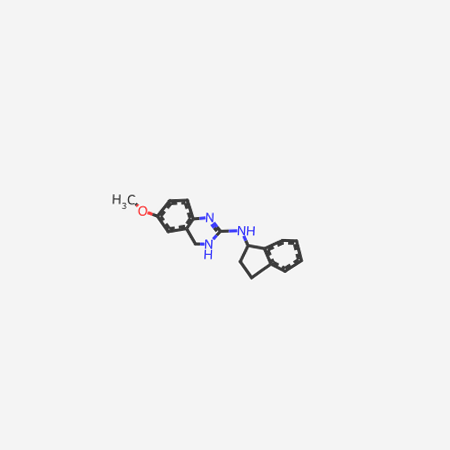 COc1ccc2c(c1)CNC(NC1CCc3ccccc31)=N2